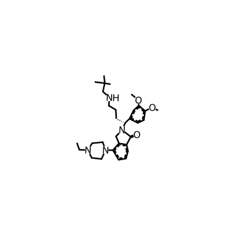 CCN1CCN(c2cccc3c2CN([C@H](CCCNCC(C)(C)C)c2ccc(OC)c(OC)c2)C3=O)CC1